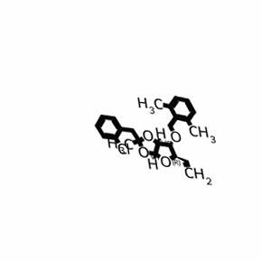 C=C[C@H]1O[C@@H]2OC(C)(Cc3ccccc3Cl)O[C@@H]2[C@H]1OCc1c(C)cccc1C